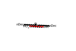 CCCCCCCCCCCCCCCCCCCCCC(=O)O.CCCCCCCCCCCCCCCCCCCCCCOC(=O)CCCCCCCCCCCCCCCCCCCCC